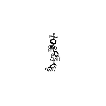 O=C(Nc1c(F)ccc(NS(=O)(=O)c2ccc(C(F)(F)F)cc2)c1F)c1cnc2[nH]cnc2c1